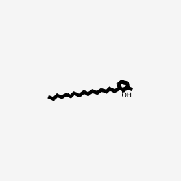 CCCCCCCCCCCCCCCCc1cccc(C)c1O